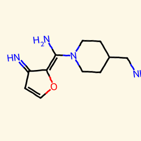 N=C1C=CO/C1=C(/N)N1CCC(CN)CC1